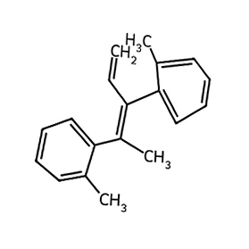 C=C/C(=C(/C)c1ccccc1C)c1ccccc1C